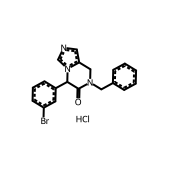 Cl.O=C1C(c2cccc(Br)c2)n2cncc2CN1Cc1ccccc1